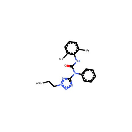 CCCCCCCCCCCCn1nnc(N(C(=O)Nc2c(CCC)cccc2CCC)c2ccccc2)n1